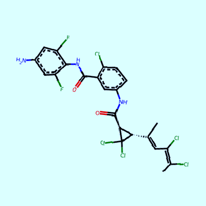 C/C(Cl)=C(Cl)\C=C(/C)[C@H]1[C@H](C(=O)Nc2ccc(Cl)c(C(=O)Nc3c(F)cc(N)cc3F)c2)C1(Cl)Cl